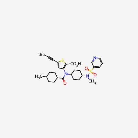 CN([C@H]1CC[C@H](N(c2cc(C#CC(C)(C)C)sc2C(=O)O)C(=O)[C@H]2CC[C@H](C)CC2)CC1)S(=O)(=O)c1cccnc1